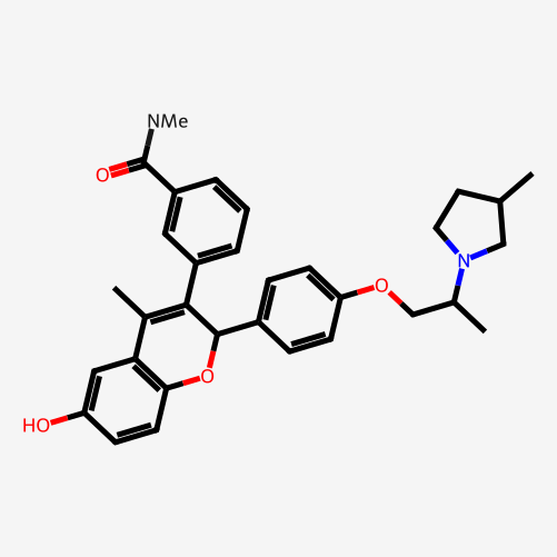 CNC(=O)c1cccc(C2=C(C)c3cc(O)ccc3OC2c2ccc(OCC(C)N3CCC(C)C3)cc2)c1